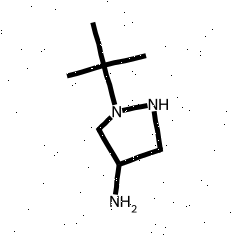 CC(C)(C)N1CC(N)CN1